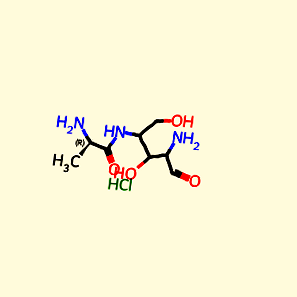 C[C@@H](N)C(=O)NC(CO)C(O)C(N)C=O.Cl